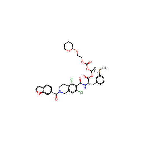 CSc1cccc(C[C@H](NC(=O)c2c(Cl)cc3c(c2Cl)CCN(C(=O)c2ccc4ccoc4c2)C3)C(=O)OC(C)OC(=O)OCCOC2CCCCO2)c1